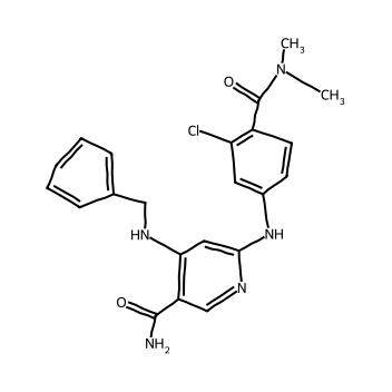 CN(C)C(=O)c1ccc(Nc2cc(NCc3ccccc3)c(C(N)=O)cn2)cc1Cl